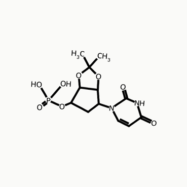 CC1(C)OC2C(OP(=O)(O)O)CC(n3ccc(=O)[nH]c3=O)C2O1